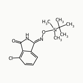 CC(C)(C)[Si](C)(C)ON=C1NC(=O)c2c(Cl)cccc21